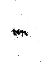 NC(=O)c1ccc(-c2[nH]c([C@@H]3CCc4cc(-c5cc(Cl)ccc5-n5cnnn5)cc(=O)n43)nc2Cl)s1